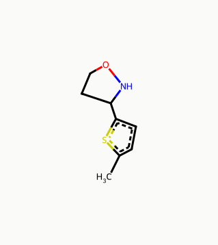 Cc1ccc(C2CCON2)s1